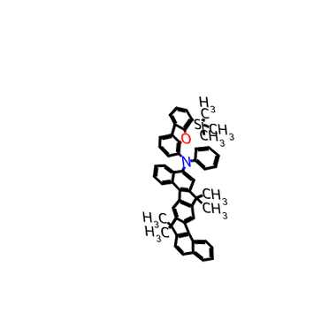 CC1(C)c2cc3c(cc2-c2c1ccc1ccccc21)C(C)(C)c1cc(N(c2ccccc2)c2cccc4c2oc2c([Si](C)(C)C)cccc24)c2ccccc2c1-3